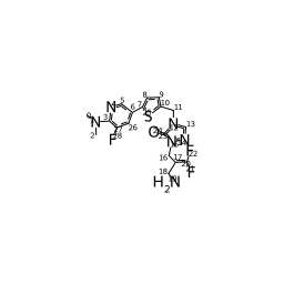 CN(C)c1ncc(-c2ccc(Cn3cnn(CC(CN)=C(F)F)c3=O)s2)cc1F